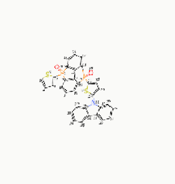 O=P1(c2cccs2)c2cccc3c2-c2c1cccc2P3(=O)c1ccc(-n2c3ccccc3c3ccccc32)s1